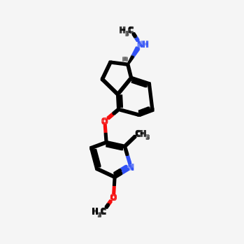 CN[C@@H]1CCc2c(Oc3ccc(OC)nc3C)cccc21